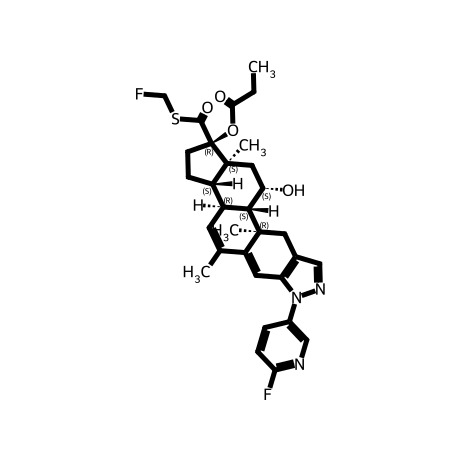 CCC(=O)O[C@]1(C(=O)SCF)CC[C@H]2[C@@H]3C=C(C)C4=Cc5c(cnn5-c5ccc(F)nc5)C[C@]4(C)[C@H]3[C@@H](O)C[C@@]21C